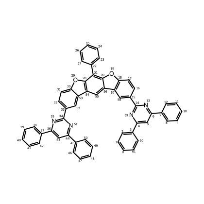 c1ccc(-c2cc(-c3ccccc3)nc(-c3ccc4oc5c(-c6ccccc6)c6oc7ccc(-c8nc(-c9ccccc9)cc(-c9ccccc9)n8)cc7c6cc5c4c3)n2)cc1